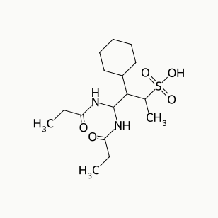 CCC(=O)NC(NC(=O)CC)C(C1CCCCC1)C(C)S(=O)(=O)O